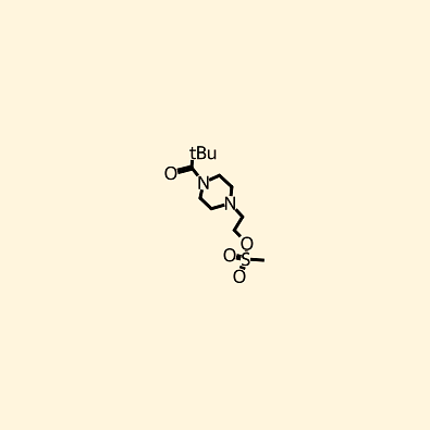 CC(C)(C)C(=O)N1CCN(CCOS(C)(=O)=O)CC1